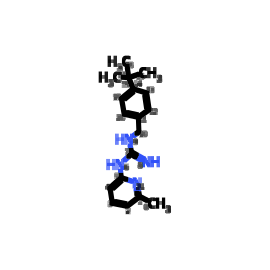 Cc1cccc(NC(=N)NCc2ccc(C(C)(C)C)cc2)n1